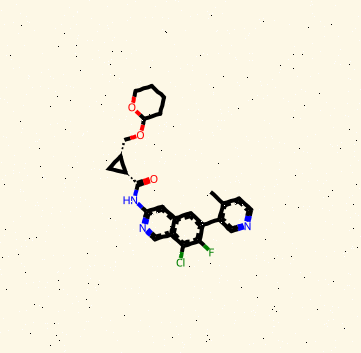 Cc1ccncc1-c1cc2cc(NC(=O)[C@@H]3C[C@@H]3COC3CCCCO3)ncc2c(Cl)c1F